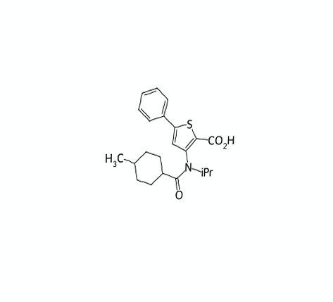 CC1CCC(C(=O)N(c2cc(-c3ccccc3)sc2C(=O)O)C(C)C)CC1